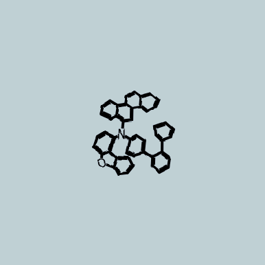 c1ccc(-c2ccccc2-c2ccc(N(c3cc4c5ccccc5ccc4c4ccccc34)c3cccc4oc5ccccc5c34)cc2)cc1